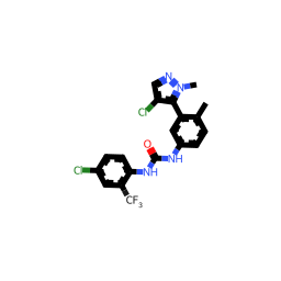 Cc1ccc(NC(=O)Nc2ccc(Cl)cc2C(F)(F)F)cc1-c1c(Cl)cnn1C